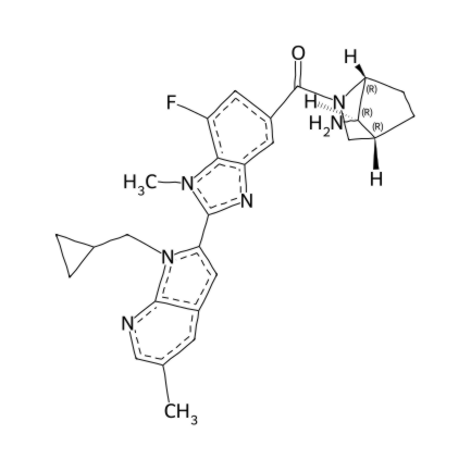 Cc1cnc2c(c1)cc(-c1nc3cc(C(=O)N4C[C@H]5CC[C@@H]4[C@@H]5N)cc(F)c3n1C)n2CC1CC1